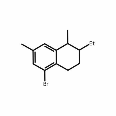 CCC1CCc2c(Br)cc(C)cc2C1C